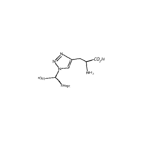 CCCCCCCCC(CCCCCCC)n1cc(CC(N)C(=O)O)nn1